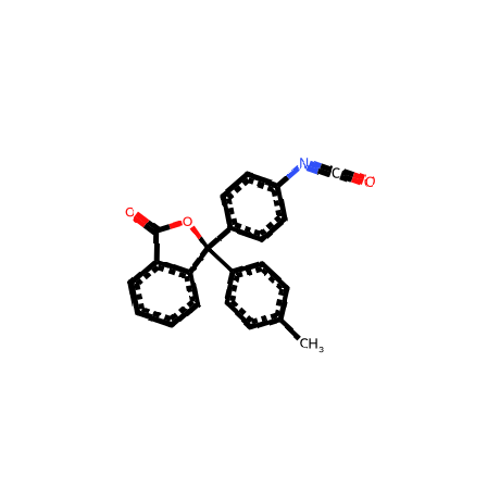 Cc1ccc(C2(c3ccc(N=C=O)cc3)OC(=O)c3ccccc32)cc1